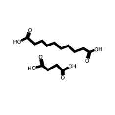 O=C(O)CCC(=O)O.O=C(O)CCCCCCCCC(=O)O